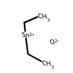 C[CH2][Sn+2][CH2]C.[O-2]